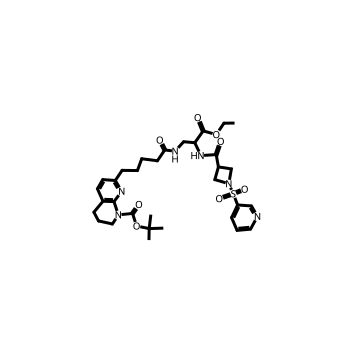 CCOC(=O)C(CNC(=O)CCCCc1ccc2c(n1)N(C(=O)OC(C)(C)C)CCC2)NC(=O)C1CN(S(=O)(=O)c2cccnc2)C1